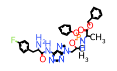 CC(Cn1cnc2c(NC(=O)C(N)Cc3ccc(F)cc3)ncnc21)OP(NC(C)C(=O)OCc1ccccc1)Oc1ccccc1